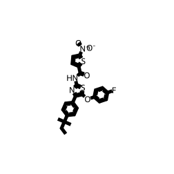 CCC(C)(C)c1ccc(-c2nc(NC(=O)c3ccc([N+](=O)[O-])s3)sc2Oc2ccc(F)cc2)cc1